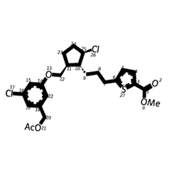 COC(=O)c1ccc(CCC[C@@H]2[C@@H](COc3cc(Cl)cc(COC(C)=O)c3)CC[C@H]2Cl)s1